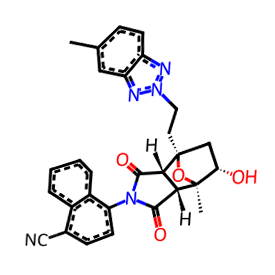 Cc1ccc2nn(CC[C@]34C[C@H](O)[C@](C)(O3)[C@@H]3C(=O)N(c5ccc(C#N)c6ccccc56)C(=O)[C@@H]34)nc2c1